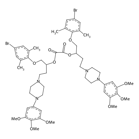 COc1cc(N2CCN(CCC(COc3c(C)cc(Br)cc3C)OC(=O)C(=O)OC(CCN3CCN(c4cc(OC)c(OC)c(OC)c4)CC3)COc3c(C)cc(Br)cc3C)CC2)cc(OC)c1OC